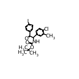 Cc1cc(C(NC(=O)OC(C)(C)C)C(=O)c2ccc(I)cc2)ccc1Cl